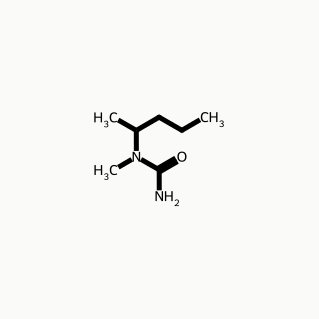 CCCC(C)N(C)C(N)=O